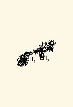 Cn1ccc(OC2(C(=O)N3CC4(CN(CCC5CCN(c6cccc7c6n(C)c(=O)n7N6C(=O)CCCC6=O)CC5)C4)C3)CCN(c3cnnc(-c4ccccc4O)c3)CC2)n1